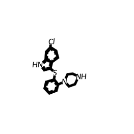 Clc1ccc2c(Sc3ccccc3N3CCNCC3)c[nH]c2c1